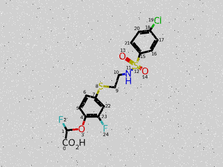 O=C(O)C(F)Oc1ccc(SCCNS(=O)(=O)c2ccc(Cl)cc2)cc1F